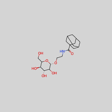 O=C(NCCO[C@H]1OC(CO)[C@H](O)[C@@H](O)C1O)C12CC3CC(CC(C3)C1)C2